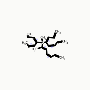 C=C/C=C\C=C(/C)S(C)(C(/C=C\C)=C/C=C)C(/C=C\C=C)=C/C=C